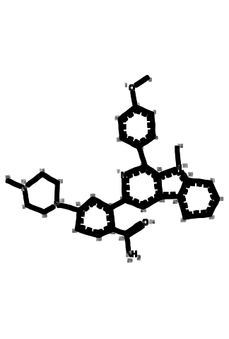 COc1ccc(-c2nc(-c3cc(N4CCN(C)CC4)ccc3C(N)=O)cc3c4ccccc4n(C)c23)cc1